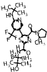 BC(B)(NC(=O)c1nc(C(=O)N2CCC[C@@H]2C)c(-c2cnc(NC(C)(C)C)cc2C(F)(F)F)s1)C(C)(C)O